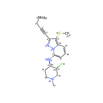 CC(=O)NCC#Cc1nn2c(N[C@@H]3CCN(C)C[C@@H]3F)cccc2c1SC(F)(F)F